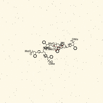 C=C(OC)C(C)(C)CC(c1ccccc1)C1C=C(CN(CC2=CC(C(CC(CCCC(CC(c3ccccc3)C3C=C(CC(CC4=CC(C(CC(C)(C)C(=O)OC)c5ccccc5)C=C4)Cc4cn(C(CC(C)(C)C(=O)OC)c5ccccc5)nn4)N=N3)C(=O)OC)C(=O)OC)c3ccccc3)N=N2)Cc2cn(C(CC(C)(C)C(=O)OC)c3ccccc3)nn2)N=N1